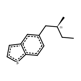 CC[C@H](C)Cc1ccc2sccc2c1